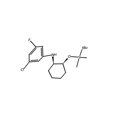 CC(C)(C)[Si](C)(C)O[C@H]1CCCC[C@H]1Nc1cc(F)cc(Cl)c1